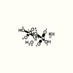 O.O=S(=O)(O)O.O=S(=O)(O)O.[KH]